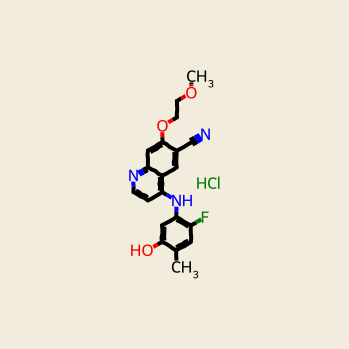 COCCOc1cc2nccc(Nc3cc(O)c(C)cc3F)c2cc1C#N.Cl